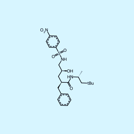 C[C@H](CC(C)(C)C)NC(=O)[C@@H](Cc1ccccc1)C[C@H](O)CNS(=O)(=O)c1ccc([N+](=O)[O-])cc1